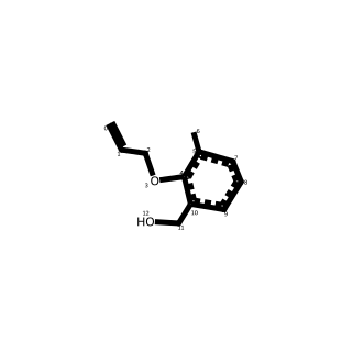 C=CCOc1c(C)cccc1CO